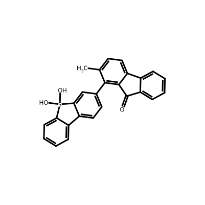 Cc1ccc2c(c1-c1ccc3c(c1)S(O)(O)c1ccccc1-3)C(=O)c1ccccc1-2